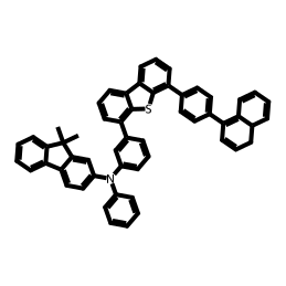 CC1(C)c2ccccc2-c2ccc(N(c3ccccc3)c3cccc(-c4cccc5c4sc4c(-c6ccc(C7=C8C=CC=CC8CC=C7)cc6)cccc45)c3)cc21